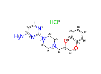 Cl.Nc1ccnc(N2CCN(CC3COc4ccccc4O3)CC2)n1